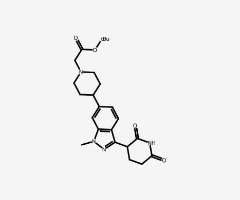 Cn1nc(C2CCC(=O)NC2=O)c2ccc(C3CCN(CC(=O)OC(C)(C)C)CC3)cc21